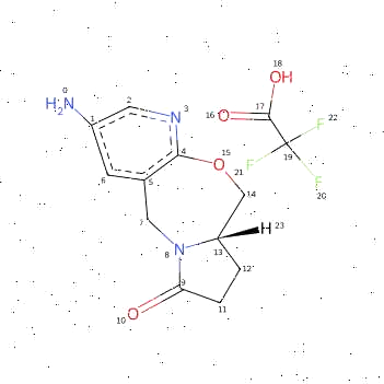 Nc1cnc2c(c1)CN1C(=O)CC[C@H]1CO2.O=C(O)C(F)(F)F